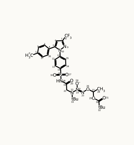 Cc1ccc(-c2cc(C(F)(F)F)nn2-c2ccc(S(=O)(=O)NC(=O)CN(/[N+]([O-])=N/OC(C)OC(=O)C(C)(C)C)C(C)(C)C)cc2)cc1